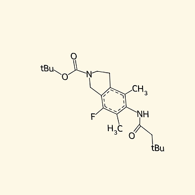 Cc1c(F)c2c(c(C)c1NC(=O)CC(C)(C)C)CCN(C(=O)OC(C)(C)C)C2